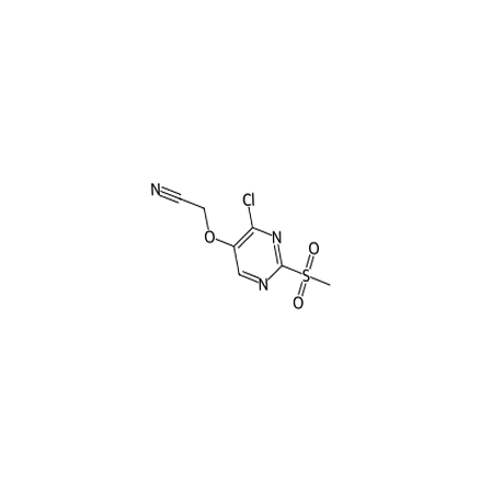 CS(=O)(=O)c1ncc(OCC#N)c(Cl)n1